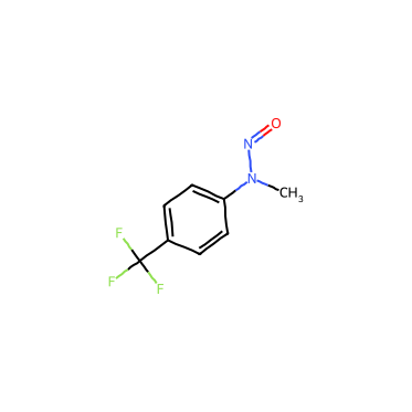 CN(N=O)c1ccc(C(F)(F)F)cc1